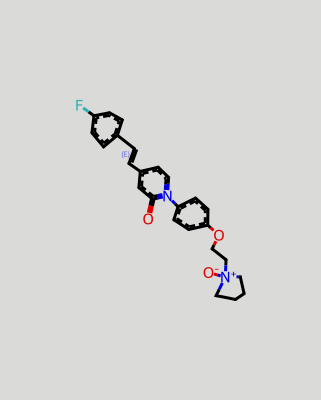 O=c1cc(/C=C/c2ccc(F)cc2)ccn1-c1ccc(OCC[N+]2([O-])CCCC2)cc1